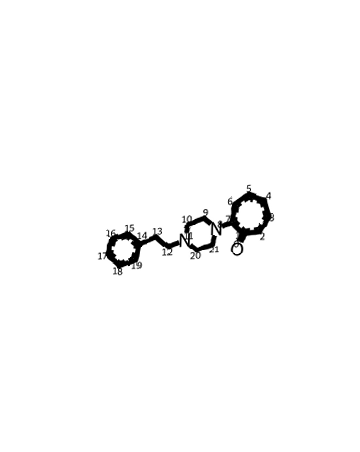 O=c1cccccc1N1CCN(CCc2ccccc2)CC1